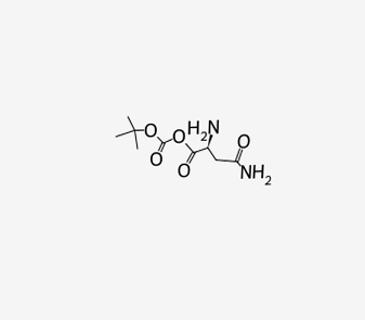 CC(C)(C)OC(=O)OC(=O)[C@@H](N)CC(N)=O